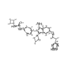 Nc1c(-c2ccc(NC(=O)NC3CCC3)cc2)n(C2CCC2)c2cc(OCCc3nn[nH]n3)ccc12